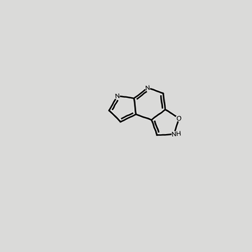 c1cc2c(n1)ncc1o[nH]cc12